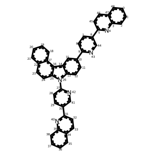 c1ccc2nc(-c3ccc(-c4ccc5c(c4)c4c6ccccc6ccc4n5-c4ccc(-c5ccc6ccccc6n5)cn4)nc3)ccc2c1